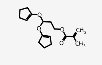 C=C(C)C(=O)OCCC(OC1=CCCC1)OC1=CCCC1